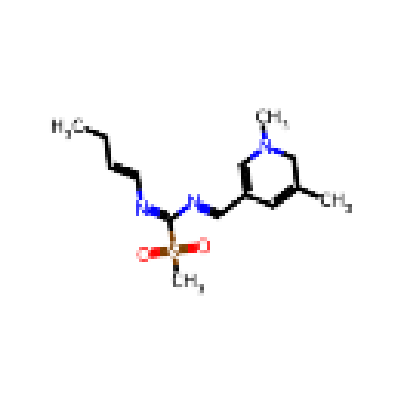 CC/C=C/N=C(\N=C\C1=CN(C)CC(C)=C1)S(C)(=O)=O